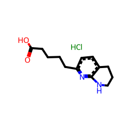 Cl.O=C(O)CCCCc1ccc2c(n1)NCCC2